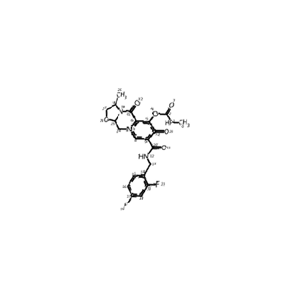 CPC(=O)Oc1c2n(cc(C(=O)NCc3ccc(F)cc3F)c1=O)CC1OCC(C)N1C2=O